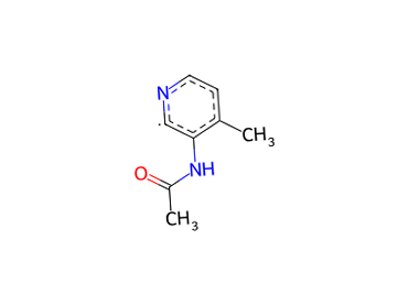 CC(=O)Nc1[c]nccc1C